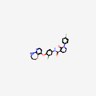 O=C(Nc1ccc(Oc2ccnc3c2SCCCN3)c(F)c1)c1cccn(-c2ccc(F)cc2)c1=O